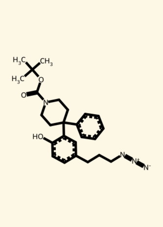 CC(C)(C)OC(=O)N1CCC(c2ccccc2)(c2cc(CCCN=[N+]=[N-])ccc2O)CC1